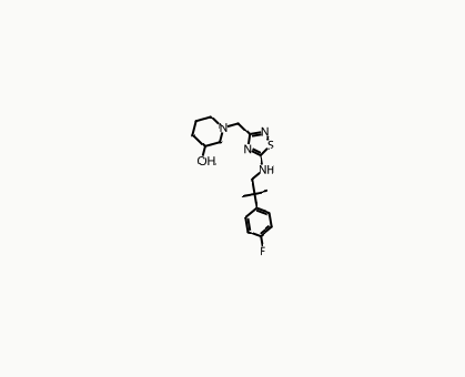 CC(C)(CNc1nc(CN2CCCC(O)C2)ns1)c1ccc(F)cc1